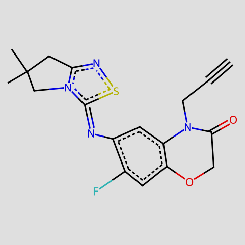 C#CCN1C(=O)COc2cc(F)c(N=c3snc4n3CC(C)(C)C4)cc21